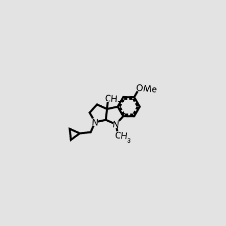 COc1ccc2c(c1)C1(C)CCN(CC3CC3)C1N2C